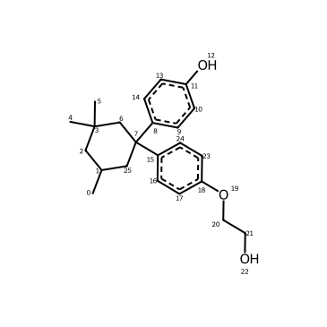 CC1CC(C)(C)CC(c2ccc(O)cc2)(c2ccc(OCCO)cc2)C1